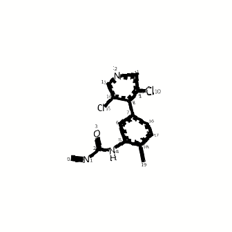 C=NC(=O)Nc1cc(-c2c(Cl)cncc2Cl)ccc1C